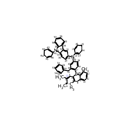 C=C/C(C)=C\C1=C(C)Cc2cccc(C)c2B1c1ccc(N(C2=CCCC=C2)c2ccc3c(c2)c2ccccc2n3C2=CCCC=C2)cc1Cc1ccccc1